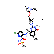 Cc1cc([C@@H](C)Nc2ccc(Cl)nc2C(=O)NS(C)(=O)=O)c2nc(N3C[C@@H]4C(COc5ccnn5C)[C@@H]4C3)n(C)c(=O)c2c1